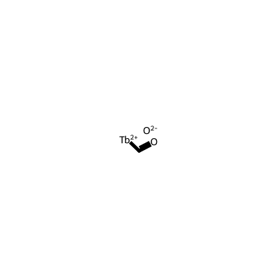 O=[CH][Tb+2].[O-2]